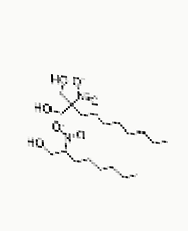 CCCCCCC(CO)[N+](=O)[O-].CCCCCCCCC(CO)(CO)[N+](=O)[O-]